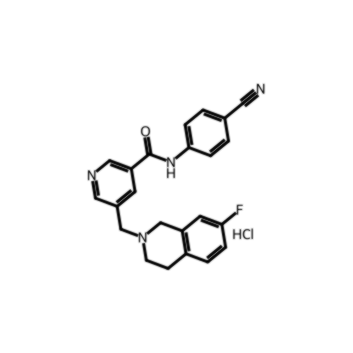 Cl.N#Cc1ccc(NC(=O)c2cncc(CN3CCc4ccc(F)cc4C3)c2)cc1